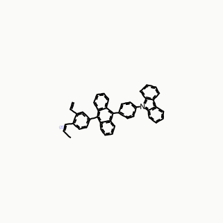 C=Cc1cc(-c2c3ccccc3c(-c3ccc(-n4c5ccccc5c5ccccc54)cc3)c3ccccc23)ccc1/C=C\C